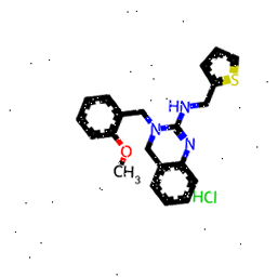 COc1ccccc1CN1Cc2ccccc2N=C1NCc1cccs1.Cl